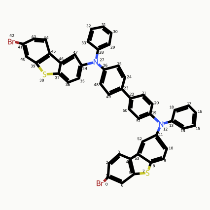 Brc1ccc2c(c1)sc1ccc(N(c3ccccc3)c3ccc(-c4ccc(N(c5ccccc5)c5ccc6sc7cc(Br)ccc7c6c5)cc4)cc3)cc12